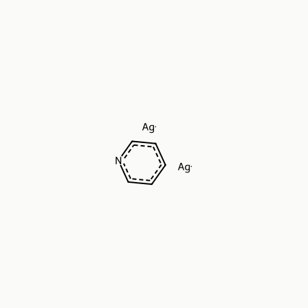 [Ag].[Ag].c1ccncc1